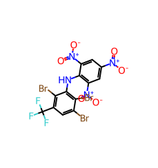 O=[N+]([O-])c1cc([N+](=O)[O-])c(Nc2c(Br)c(Br)cc(C(F)(F)F)c2Br)c([N+](=O)[O-])c1